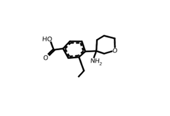 CCc1cc(C(=O)O)ccc1C1(N)CCCOC1